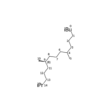 [CH2]CC(C)CCCC(C)CCC[C@H](C)CCCC(C)C